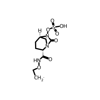 [CH2]CONC(=O)[C@@H]1CC[C@@H]2CN1C(=O)N2OS(=O)(=O)O